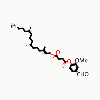 COc1cc(C=O)ccc1OC(=O)CCC(=O)OC/C=C(\C)CCC[C@H](C)CCC[C@H](C)CCCC(C)C